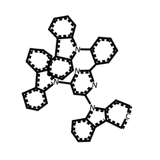 c1ccc(-n2c3ccccc3c3ccccc32)c(-c2nc(-n3c4ccccc4c4ccccc43)cc(-n3c4ccccc4c4ccccc43)n2)c1